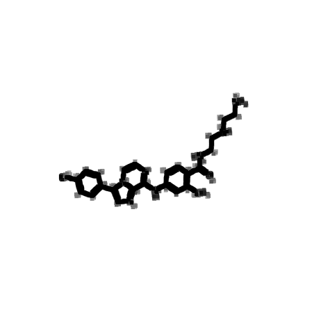 Cc1cc(Nc2nccn3c(-c4ccc(Cl)cc4)cnc23)ccc1C(=O)NCCNCCN